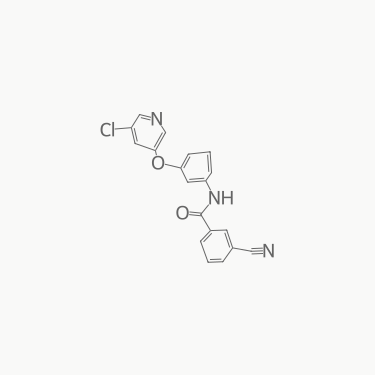 N#Cc1cccc(C(=O)Nc2cccc(Oc3cncc(Cl)c3)c2)c1